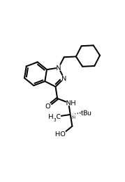 CC(C)(C)[C@@](C)(CO)NC(=O)c1nn(CC2CCCCC2)c2ccccc12